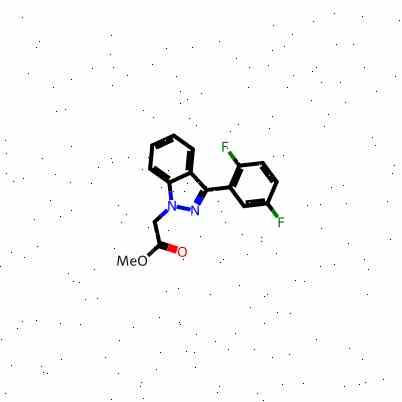 COC(=O)Cn1nc(-c2cc(F)ccc2F)c2ccccc21